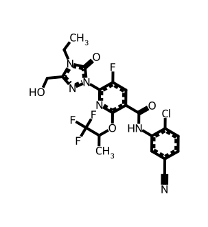 CCn1c(CO)nn(-c2nc(OC(C)C(F)(F)F)c(C(=O)Nc3cc(C#N)ccc3Cl)cc2F)c1=O